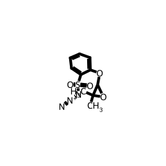 CC1(C)OC1Oc1ccccc1S(=O)(=O)N=[N+]=[N-]